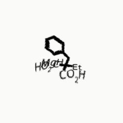 CCC(Cc1ccccc1)(C(=O)O)C(=O)O.[MgH2]